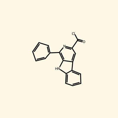 O=C(Cl)c1cc2c([nH]c3ccccc32)c(-c2ccccc2)n1